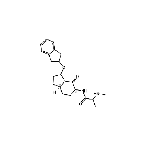 CNC(C)C(=O)N[C@H]1CC[C@H]2CCC(OC3Cc4ccccc4C3)N2C1=O